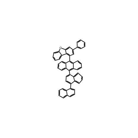 c1ccc(-c2cc(-c3c4ccccc4c(-c4ccc(-c5cccc6ccccc56)c5ccccc45)c4ccccc34)c3c(c2)oc2ccccc23)cc1